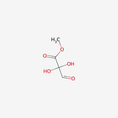 COC(=O)C(O)(O)C=O